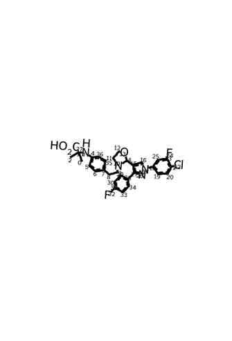 CC(C)(Nc1ccc(CCN2CCOC2c2cn(-c3ccc(Cl)c(F)c3)nc2-c2ccc(F)cc2)cc1)C(=O)O